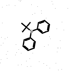 CC(C)(C)[Si](c1ccccc1)c1ccccc1